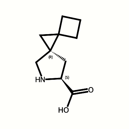 O=C(O)[C@@H]1C[C@]2(CN1)CC21CCC1